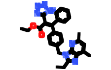 CCOC(=O)C(=C(c1ccccc1)c1ccc(Cn2c(CC)nc3c(C)cc(C)nc32)cc1)c1nnn[nH]1